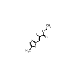 CCOC(=O)/C(F)=C/c1nnc(C)s1